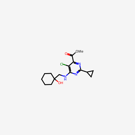 COC(=O)c1nc(C2CC2)nc(NCC2(O)CCCCC2)c1Cl